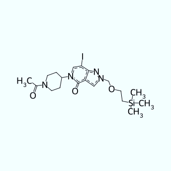 CC(=O)N1CCC(n2cc(I)c3nn(COCC[Si](C)(C)C)cc3c2=O)CC1